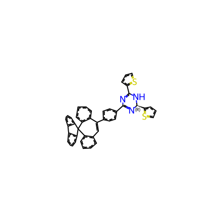 C1=C(c2ccc(C3=N[C@H](c4cccs4)NC(c4cccs4)=N3)cc2)c2ccccc2C2(c3ccccc31)c1ccccc1-c1ccccc12